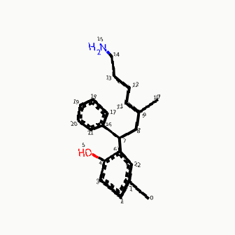 Cc1ccc(O)c(C(CC(C)CCCCN)c2ccccc2)c1